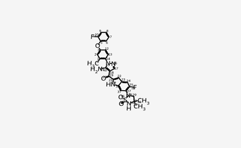 Cc1cc(Oc2ccccc2F)ccc1-n1ncc(C(=O)c2cc3cc(F)c(N4CC(C)(C)NS4(=O)=O)cc3[nH]2)c1N